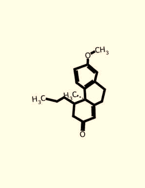 CCCC1CC(=O)C=C2CCc3cc(OC)ccc3[C@@]21C